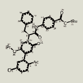 CC(=O)c1ccc(Cl)cc1-c1cc(=O)n([C@@H](Cc2ccccc2)C(=O)Nc2ccc(C(=O)OC(C)(C)C)cc2)nc1OC(C)C